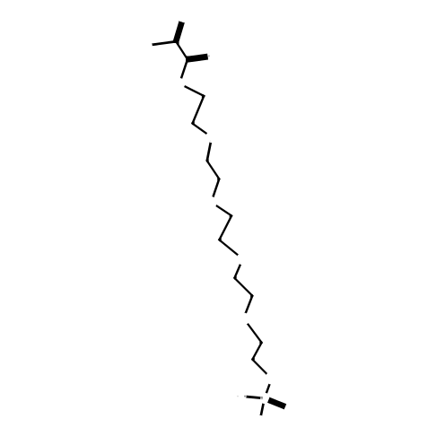 C=C(C)C(=O)OCCOCCOCCOCCOCCOP(=O)(O)O